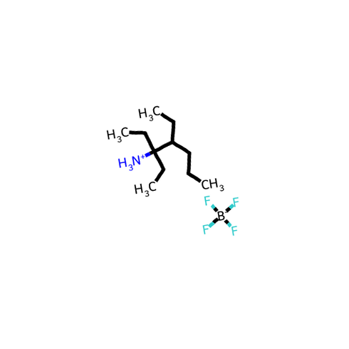 CCCC(CC)C([NH3+])(CC)CC.F[B-](F)(F)F